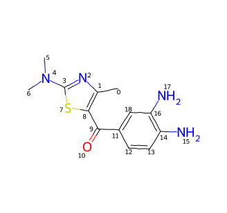 Cc1nc(N(C)C)sc1C(=O)c1ccc(N)c(N)c1